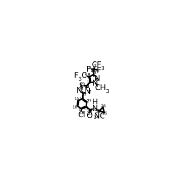 Cn1nc(C(F)(F)C(F)(F)F)c(C(F)(F)F)c1-c1nc(-c2ccc(Cl)c(C(=O)NC3(C#N)CC3)c2)ns1